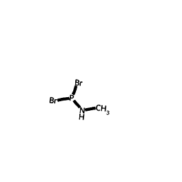 CNP(Br)Br